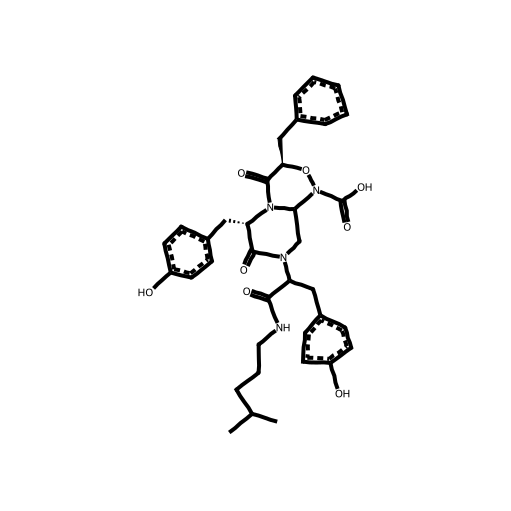 CC(C)CCCNC(=O)C(Cc1ccc(O)cc1)N1CC2N(C(=O)O)O[C@H](Cc3ccccc3)C(=O)N2[C@@H](Cc2ccc(O)cc2)C1=O